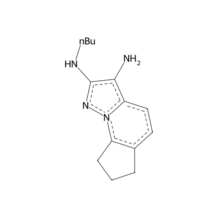 CCCCNc1nn2c3c(ccc2c1N)CCC3